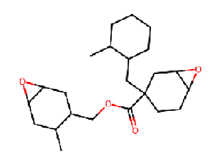 CC1CC2OC2CC1COC(=O)C1(CC2CCCCC2C)CCC2OC2C1